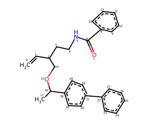 C=CC(CCNC(=O)c1ccccc1)COC(C)c1ccc(-c2ccccc2)cc1